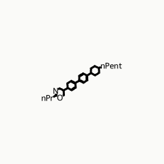 CCCCCC1CCC(c2ccc(C3=CCC(C4CN=C(CCC)OC4)C=C3)cc2)CC1